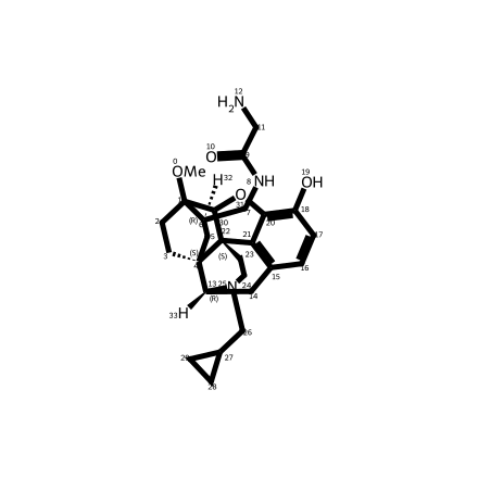 COC12CC[C@@]3(C[C@@H]1CNC(=O)CN)[C@H]1Cc4ccc(O)c5c4[C@@]3(CCN1CC1CC1)C2O5